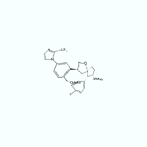 CN[C@H]1CC[C@@]2(C[C@@H](c3cc(-n4ccnc4C(F)(F)F)ccc3OC)CO2)[C@H]1c1ccc(F)cc1